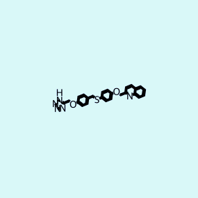 c1ccc2nc(COc3ccc(SCc4ccc(OCc5nnn[nH]5)cc4)cc3)ccc2c1